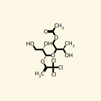 C=C(O[C@@H](OC(COC(C)=O)[C@@H](C)O)[C@@H](O)CO)C(Cl)(Cl)Cl